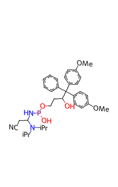 COc1ccc(C(c2ccccc2)(c2ccc(OC)cc2)C(O)CCOP(O)NC(CC#N)N(C(C)C)C(C)C)cc1